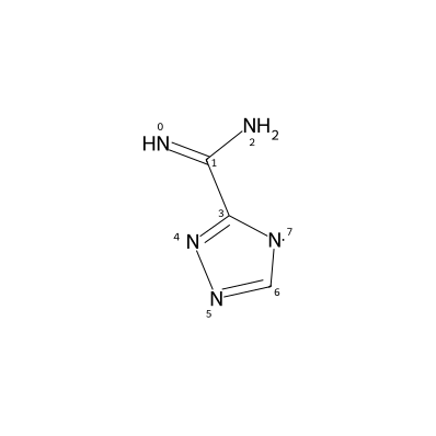 N=C(N)C1=NN=C[N]1